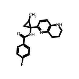 CC1CC1(NC(=O)c1ccc(F)cc1)c1ccc2c(n1)CCCN2